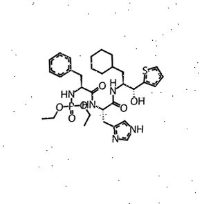 CCOP(=O)(N[C@@H](Cc1ccccc1)C(=O)N[C@@H](Cc1c[nH]cn1)C(=O)N[C@@H](CC1CCCCC1)[C@@H](O)c1cccs1)OCC